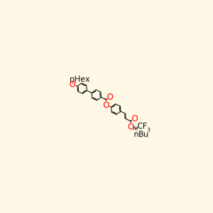 CCCCCCOc1ccc(-c2ccc(C(=O)Oc3ccc(C=CC(=O)O[C@@H](CCCC)C(F)(F)F)cc3)cc2)cc1